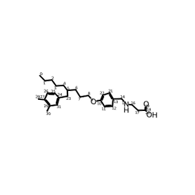 CCCCCC(CCCOc1ccc(CNCCC(=O)O)cc1)Cc1ccc(C)c(C)c1